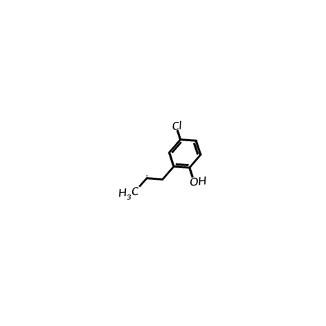 C[CH]Cc1cc(Cl)ccc1O